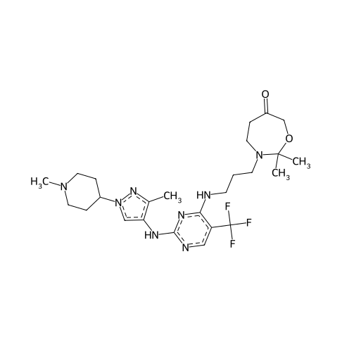 Cc1nn(C2CCN(C)CC2)cc1Nc1ncc(C(F)(F)F)c(NCCCN2CCC(=O)COC2(C)C)n1